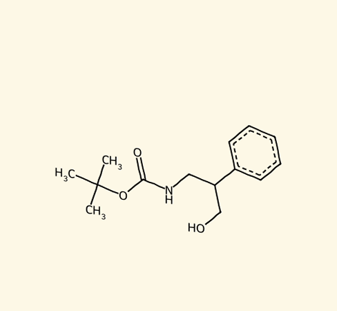 CC(C)(C)OC(=O)NCC(CO)c1ccccc1